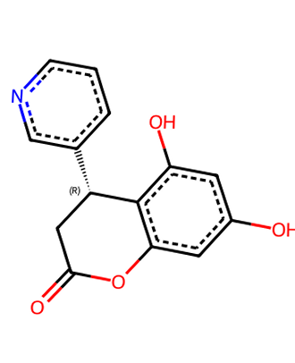 O=C1C[C@H](c2cccnc2)c2c(O)cc(O)cc2O1